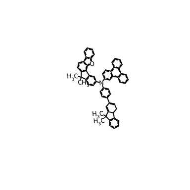 CC1(C)C2=CC(c3ccc(N(c4ccc5c(c4)-c4c(ccc6c4oc4ccccc46)C5(C)C)c4ccc5c6ccccc6c6ccccc6c5c4)cc3)=CCC2c2ccccc21